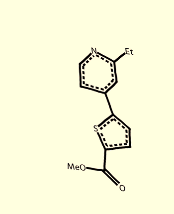 CCc1cc(-c2ccc(C(=O)OC)s2)ccn1